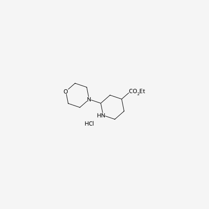 CCOC(=O)C1CCNC(N2CCOCC2)C1.Cl